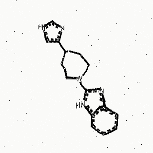 c1ccc2[nH]c(N3CCC(c4c[nH]cn4)CC3)nc2c1